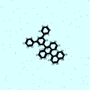 c1ccc(-c2cc(-c3ccccc3)cc(-c3c4ccccc4c(-c4cccc5ccccc45)c4ccccc34)c2)cc1